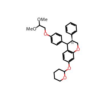 COC(COc1ccc(C2c3ccc(OC4CCCCO4)cc3OC[C@@H]2c2ccccc2)cc1)OC